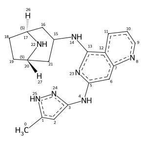 Cc1cc(Nc2cc3ncccc3c(NC3C[C@@H]4CC[C@@H](C3)N4)n2)n[nH]1